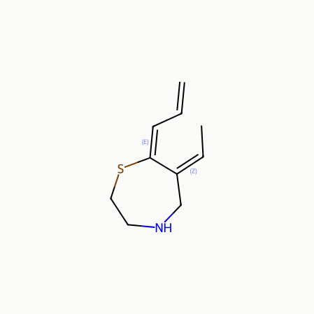 C=C/C=C1/SCCNC/C1=C/C